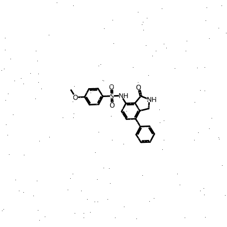 COc1ccc(S(=O)(=O)Nc2ccc(-c3ccccc3)c3c2C(=O)NC3)cc1